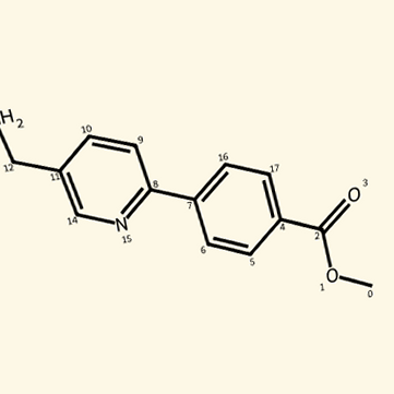 COC(=O)c1ccc(-c2ccc(CN)cn2)cc1